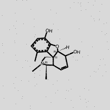 Cc1ccc(O)c2c1[C@]13CCN(C)[C@H](C)C1C=CC(O)[C@@H]3O2